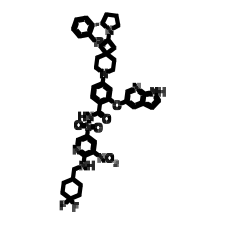 CC(C)c1ccccc1[C@@H]1CCCN1C1CC2(CCN(c3ccc(C(=O)NS(=O)(=O)c4cnc(NCC5CCC(F)(F)CC5)c([N+](=O)[O-])c4)c(Oc4cnc5[nH]ccc5c4)c3)CC2)C1